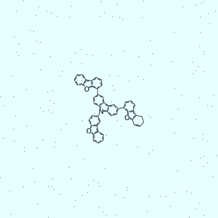 C1=Cc2oc3c(-c4ccc5c(c4)c4cc(-c6cccc7c6oc6ccccc67)ccc4n5-c4ccc5oc6ccccc6c5c4)cccc3c2CC1